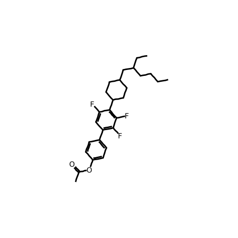 CCCCC(CC)CC1CCC(c2c(F)cc(-c3ccc(OC(C)=O)cc3)c(F)c2F)CC1